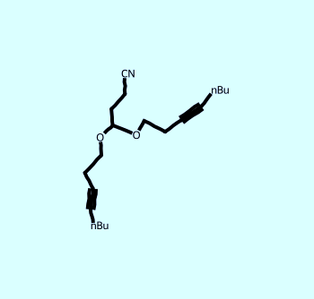 CCCCC#CCCOC(CCC#N)OCCC#CCCCC